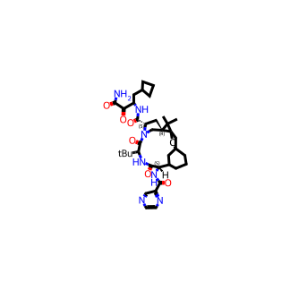 CC(C)(C)C1NC(=O)[C@@H](NC(=O)c2cnccn2)C2CCCC3(C2)CC2(C3)C(C)(C)[C@]23C[C@@H](C(=O)NC(CC2CCC2)C(=O)C(N)=O)N(C3)C1=O